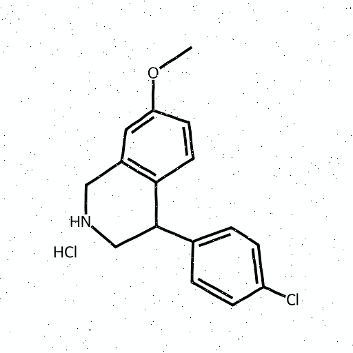 COc1ccc2c(c1)CNCC2c1ccc(Cl)cc1.Cl